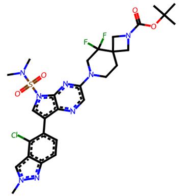 CN(C)S(=O)(=O)n1cc(-c2ccc3nn(C)cc3c2Cl)c2ncc(N3CCC4(CN(C(=O)OC(C)(C)C)C4)C(F)(F)C3)nc21